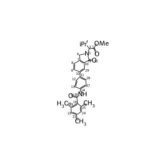 COC(=O)C(C(C)C)N1Cc2ccc(-c3ccc(NC(=O)c4c(C)cc(C)cc4C)cc3)cc2C1=O